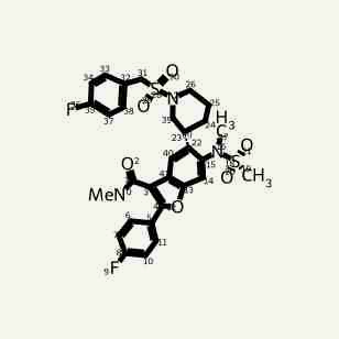 CNC(=O)c1c(-c2ccc(F)cc2)oc2cc(N(C)S(C)(=O)=O)c([C@H]3CCCN(S(=O)(=O)Cc4ccc(F)cc4)C3)cc12